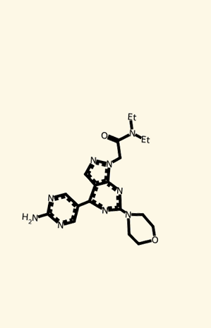 CCN(CC)C(=O)Cn1ncc2c(-c3cnc(N)nc3)nc(N3CCOCC3)nc21